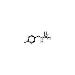 Cc1ccc(CN[SiH2]Cl)cc1